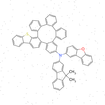 CC1(C)c2ccccc2-c2ccc(N(c3ccc4oc5ccccc5c4c3)c3ccc4c(c3)c3ccccc3c3ccccc3c3ccccc3c3c4ccc4c5ccccc5sc43)cc21